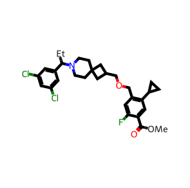 CCC(c1cc(Cl)cc(Cl)c1)N1CCC2(CC1)CC(COCc1cc(F)c(C(=O)OC)cc1C1CC1)C2